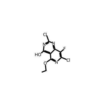 CCOc1nc(Cl)c(F)c2nc(Cl)nc(O)c12